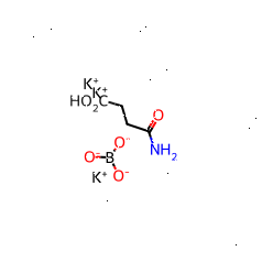 NC(=O)CCC(=O)O.[K+].[K+].[K+].[O-]B([O-])[O-]